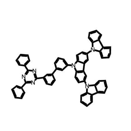 c1ccc(-c2nc(-c3ccccc3)nc(-c3cccc(-c4cccc(-n5c6ccc(-n7c8ccccc8c8ccccc87)cc6c6cc(-n7c8ccccc8c8ccccc87)ccc65)c4)c3)n2)cc1